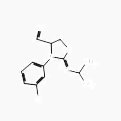 CC(C)/N=C1\SCC(C=O)N1c1cccc(Cl)c1